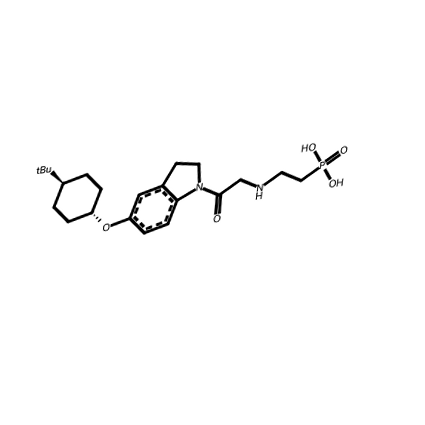 CC(C)(C)[C@H]1CC[C@H](Oc2ccc3c(c2)CCN3C(=O)CNCCP(=O)(O)O)CC1